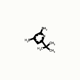 Bc1cc(B)nc(C(C)(C)C)c1